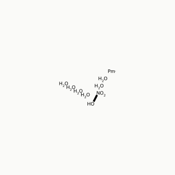 O.O.O.O.O.O.O=[N+]([O-])O.[Pm]